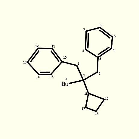 CCC(C)C(Cc1ccccc1)(Cc1ccccc1)C1CCC1